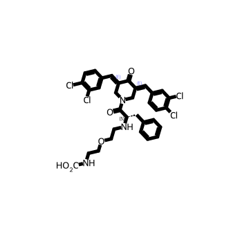 O=C(O)NCCOCCN[C@@H](Cc1ccccc1)C(=O)N1C/C(=C\c2ccc(Cl)c(Cl)c2)C(=O)/C(=C/c2ccc(Cl)c(Cl)c2)C1